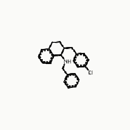 Clc1ccc(CC2CCc3ccccc3C2NCc2ccccc2)cc1